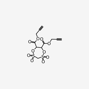 C#CCOC(=O)C1OS(=O)(=O)CS(=O)(=O)OC1C(=O)OCC#C